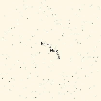 CCCN=S=S